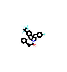 CC(F)(c1ccc2c(c1)CC1N(C(=O)C3CC3c3ccccc3)CCC21Cc1ccc(F)cc1)C(F)(F)F